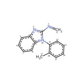 C=Nc1nc2ccccc2n1-c1ccccc1C